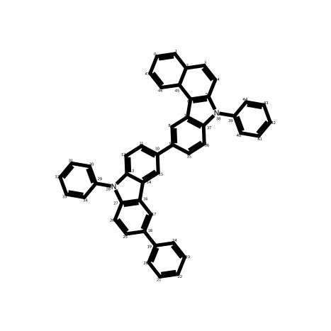 C1=CC2C=Cc3c(c4cc(-c5ccc6c(c5)c5cc(-c7ccccc7)ccc5n6-c5ccccc5)ccc4n3-c3ccccc3)C2C=C1